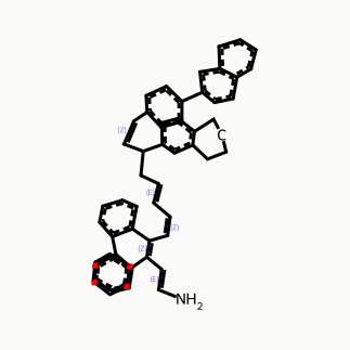 N/C=C/C(=C(\C=C/C=C/CC(/C=C\c1ccc(-c2ccc3ccccc3c2)cc1)c1ccc2c(c1)CCCC2)c1ccccc1-c1ccccc1)c1ccccc1